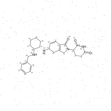 O=C1CCC(N2CC3=C(C=CC(N[C@H]4CCCCC4NCc4ccccc4)C3)C2=O)C(=O)N1